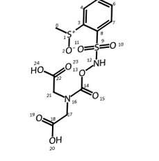 C[S+]([O-])c1ccccc1S(=O)(=O)NOC(=O)N(CC(=O)O)CC(=O)O